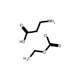 CCOC(=O)Cl.NCCC(=O)O